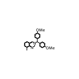 COc1ccc(C(c2ccc(OC)cc2)N2C=c3cccc(C)c3=NC2)cc1